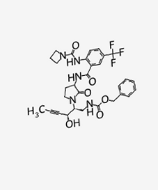 CC#C[C@H](O)[C@H](CNC(=O)OCc1ccccc1)N1CCC(NC(=O)c2cc(C(F)(F)F)ccc2NC(=O)N2CCC2)C1=O